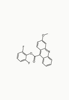 COc1ccc2c(C(=O)Oc3c(F)cccc3F)c3ccccc3nc2c1